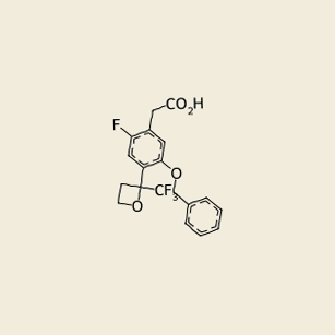 O=C(O)Cc1cc(OCc2ccccc2)c(C2(C(F)(F)F)CCO2)cc1F